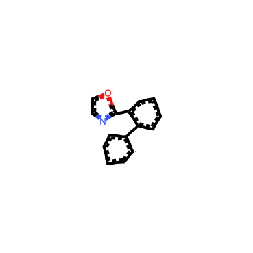 [c]1ccccc1-c1ccccc1-c1ncco1